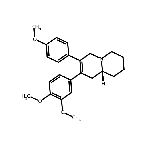 COc1ccc(C2=C(c3ccc(OC)c(OC)c3)C[C@H]3CCCCN3C2)cc1